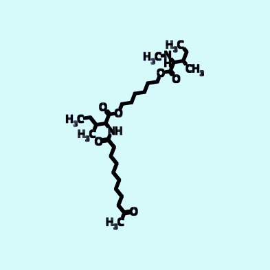 CCC(C)C(NC)C(=O)OCCCCCCOC(=O)C(NC(=O)CCCCCCCCC(C)=O)C(C)CC